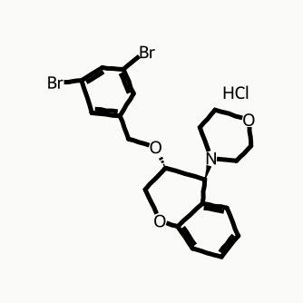 Brc1cc(Br)cc(CO[C@H]2COc3ccccc3[C@@H]2N2CCOCC2)c1.Cl